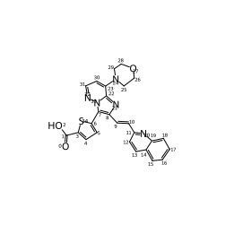 O=C(O)c1ccc(-c2c(/C=C/c3ccc4ccccc4n3)nc3c(N4CCOCC4)ccnn23)s1